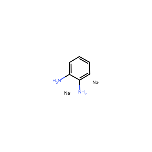 Nc1ccccc1N.[Na].[Na]